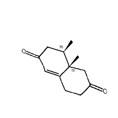 C[C@@H]1CC(=O)C=C2CCC(=O)C[C@]21C